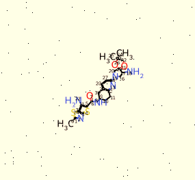 Cc1nc2sc(C(=O)NC3CCc4nc(N5CC(N)C6(C5)OCC(C)(C)O6)ccc4C3)c(N)c2s1